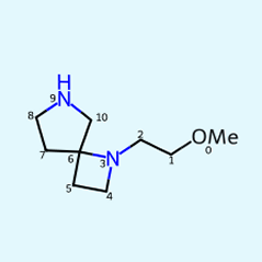 COCCN1CCC12CCNC2